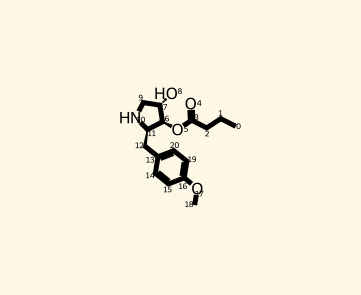 CCCC(=O)O[C@@H]1[C@@H](O)CN[C@@H]1Cc1ccc(OC)cc1